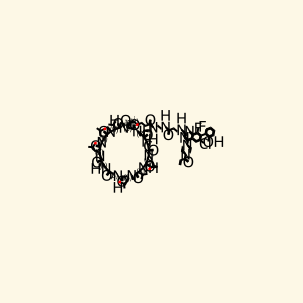 C=CC(=O)N1CCN(c2nc(NCCC(=O)NCCNC(=O)CCC[C@@H](C)[C@@H](O)[C@H]3C(=O)N[C@@H](CC)C(=O)N(C)CC(=O)N(C)[C@@H](CC(C)C)C(=O)N[C@@H](C(C)C)C(=O)N(C)[C@@H](CC(C)C)C(=O)N[C@@H](C)C(=O)N[C@H](C)C(=O)N(C)[C@@H](CC(C)C)C(=O)N(C)[C@@H](CC(C)C)C(=O)N(C)[C@@H](C(C)C)C(=O)N3C)nc3c(F)c(-c4c(O)cccc4F)c(Cl)cc23)CC1